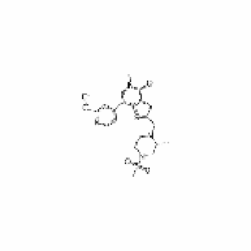 CCOc1cc(-c2cn(C)c(=O)c3cc(CN4CCN(S(C)(=O)=O)C[C@H]4C)sc23)ccn1